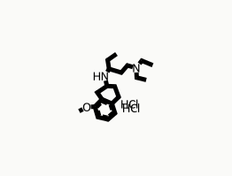 CCC(CCN(CC)CC)NC1CCc2cccc(OC)c2C1.Cl.Cl